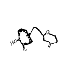 Oc1ccc(CC2CNCCO2)cc1Br